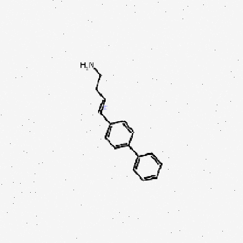 NCC/C=C/c1ccc(-c2ccccc2)cc1